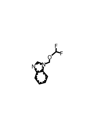 FC(F)OCn1cnc2ccccc21